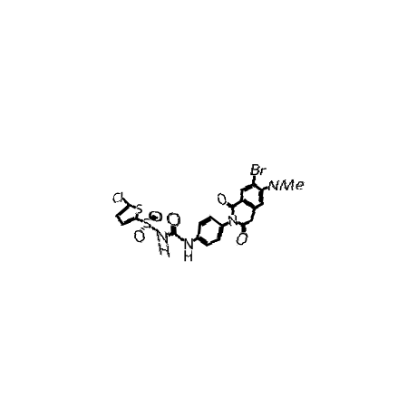 CNc1cc2c(cc1Br)C(=O)N(c1ccc(NC(=O)NS(=O)(=O)c3ccc(Cl)s3)cc1)C(=O)C2